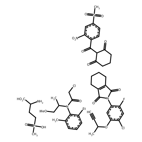 C#CC(C)Oc1cc(N2C(=O)C3=C(CCCC3)C2=O)c(F)cc1Cl.CCc1cccc(C)c1N(C(=O)CCl)C(C)COC.CP(=O)(O)CCC(N)C(=O)O.CS(=O)(=O)c1ccc(C(=O)C2C(=O)CCCC2=O)c([N+](=O)[O-])c1